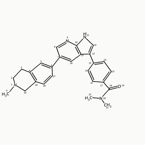 CN1CCc2cc(-c3cnc4[nH]cc(-c5ccc(C(=O)N(C)C)cc5)c4c3)ccc2C1